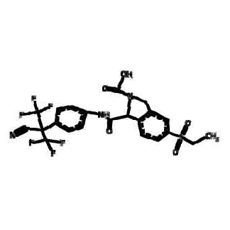 CCS(=O)(=O)c1ccc2c(c1)CN(C(=O)O)C2C(=O)Nc1ccc(C(C#N)(C(F)(F)F)C(F)(F)F)cc1